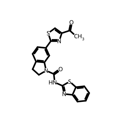 CC(=O)c1csc(-c2ccc3c(c2)N(C(=O)Nc2nc4ccccc4s2)CC3)n1